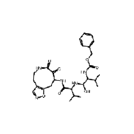 CC(C)C(NC(O)C(NC(=O)OCc1ccccc1)C(C)C)C(=O)NC1Cc2oncc2CCNC(=O)C1=O